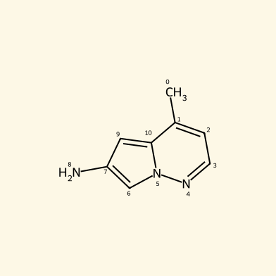 Cc1ccnn2cc(N)cc12